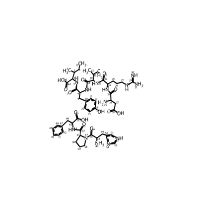 CCC(C)C(NC(=O)C(Cc1ccc(O)cc1)NC(=O)C(NC(=O)C(CCCNC(=N)N)NC(=O)C(N)CC(=O)O)C(C)C)C(=O)O.NC(Cc1c[nH]cn1)C(=O)N1CCC[C@H]1C(=O)NC(Cc1ccccc1)C(=O)O